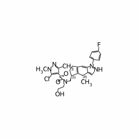 Cc1nn(C)c(Cl)c1S(=O)(=O)N(CCO)C[C@H]1CCC2=C1[C@@H](C)C1=CNN(c3ccc(F)cc3)C1=C2